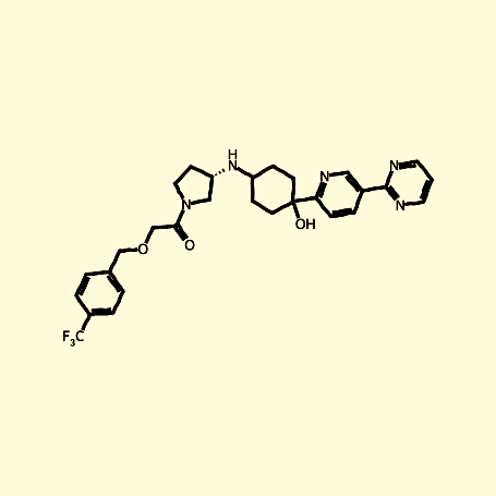 O=C(COCc1ccc(C(F)(F)F)cc1)N1CC[C@H](NC2CCC(O)(c3ccc(-c4ncccn4)cn3)CC2)C1